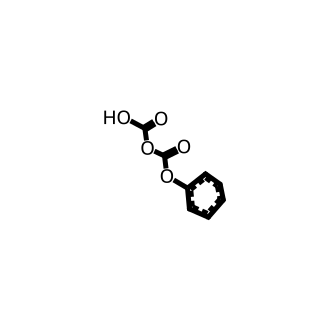 O=C(O)OC(=O)Oc1ccccc1